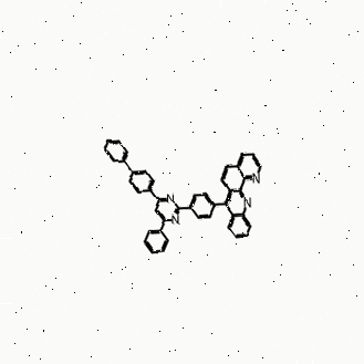 c1ccc(-c2ccc(-c3cc(-c4ccccc4)nc(-c4ccc(-c5c6ccccc6nc6c5ccc5cccnc56)cc4)n3)cc2)cc1